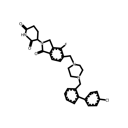 O=C1CCC(N2Cc3c(ccc(CN4CCN(Cc5ccccc5-c5ccc(Cl)cc5)CC4)c3F)C2=O)C(=O)N1